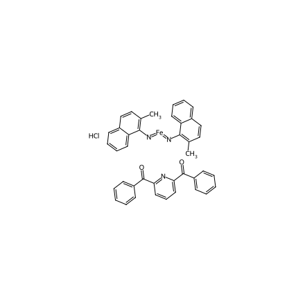 Cc1ccc2ccccc2c1[N]=[Fe]=[N]c1c(C)ccc2ccccc12.Cl.O=C(c1ccccc1)c1cccc(C(=O)c2ccccc2)n1